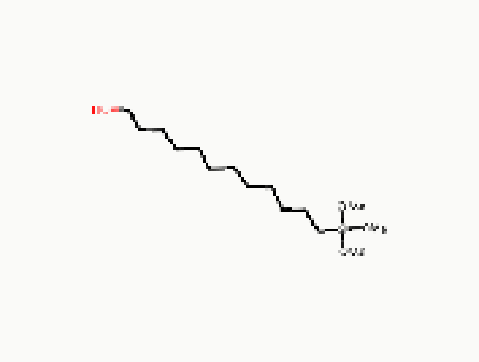 CO[Si](CCCCCCCCCCCCO)(OC)OC